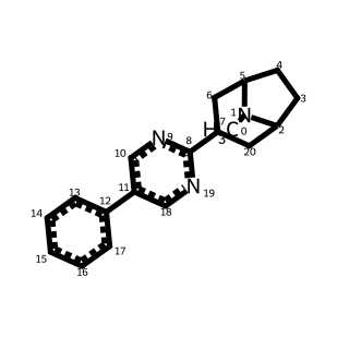 CN1C2CCC1CC(c1ncc(-c3ccccc3)cn1)C2